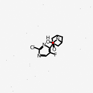 O=C(O)N1C2CC1CN(c1nc(Cl)ncc1F)C2